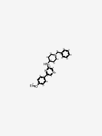 CCOc1ccc(-c2cncc(NC3CCN(Cc4ccccc4)CC3)n2)cc1